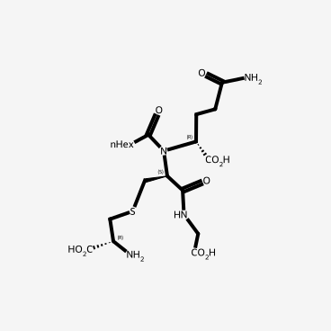 CCCCCCC(=O)N([C@H](CCC(N)=O)C(=O)O)[C@H](CSC[C@H](N)C(=O)O)C(=O)NCC(=O)O